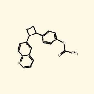 CC(=O)Oc1ccc(C2CCC2c2ccc3ncccc3c2)cc1